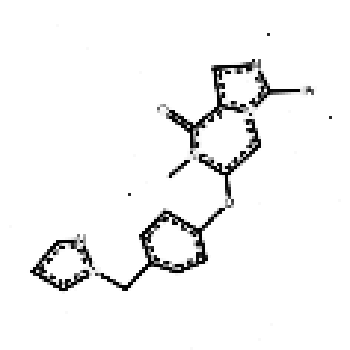 CC(C)c1ncc2c(=O)n(C)c(Oc3ccc(Cn4cccn4)cc3)cn12